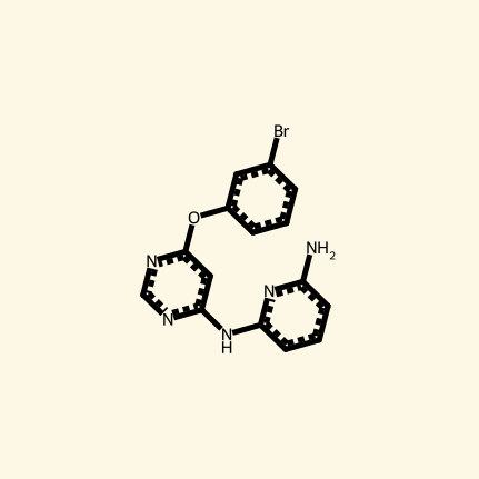 Nc1cccc(Nc2cc(Oc3cccc(Br)c3)ncn2)n1